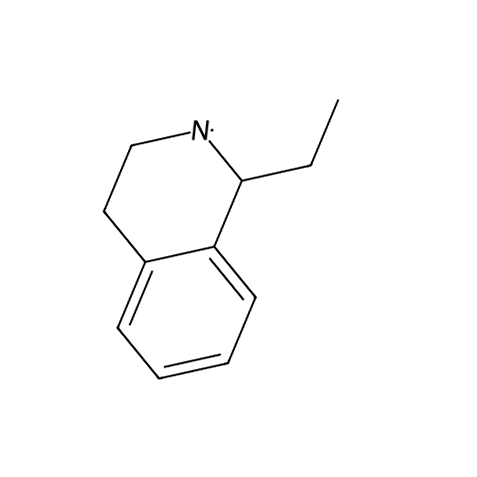 CCC1[N]CCc2ccccc21